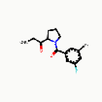 CC(C)c1cc(F)cc(C(=O)N2CCCC2C(=O)CC=O)c1